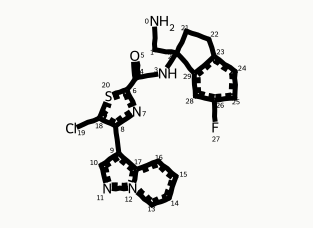 NCC1(NC(=O)c2nc(-c3cnn4ccccc34)c(Cl)s2)CCc2ccc(F)cc21